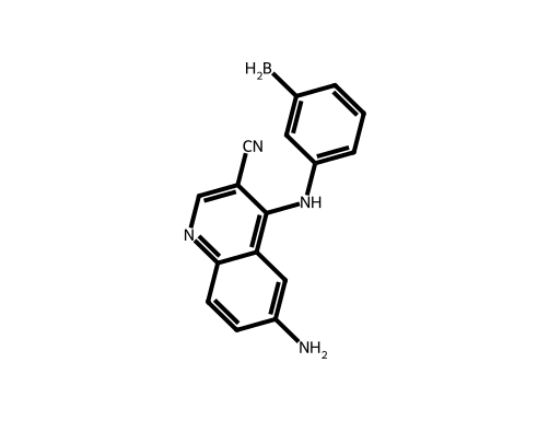 Bc1cccc(Nc2c(C#N)cnc3ccc(N)cc23)c1